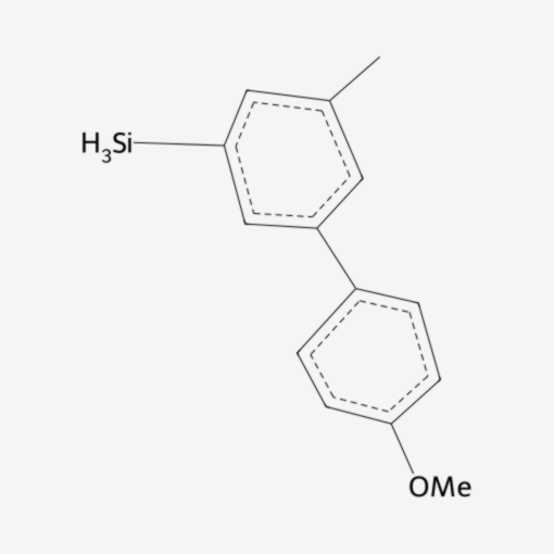 COc1ccc(-c2cc(C)cc([SiH3])c2)cc1